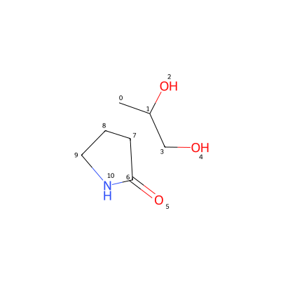 CC(O)CO.O=C1CCCN1